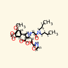 CCCCN(CCCC)C(=O)CN1C[C@H](c2cc(OC)c3c(c2)OCO3)[C@H](C(=O)O)[C@H]1CCc1ncco1